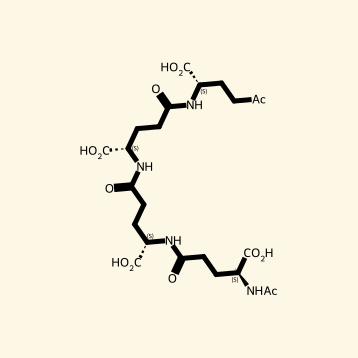 CC(=O)CC[C@H](NC(=O)CC[C@H](NC(=O)CC[C@H](NC(=O)CC[C@H](NC(C)=O)C(=O)O)C(=O)O)C(=O)O)C(=O)O